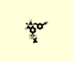 Cn1c(=O)c2cc(S(=O)(=O)NC3(C)CC3)ccc2n(Cc2cccc(C#N)c2)c1=O